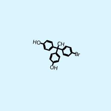 CC(c1ccc(O)cc1)(c1ccc(O)cc1)c1ccc(Br)cc1